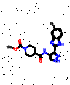 CCc1ccc2[nH]c(-c3n[nH]cc3NC(=O)C3CCN(C(=O)OC(C)(C)C)CC3)nc2c1